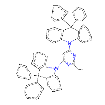 Cc1nc(N2c3ccccc3C(c3ccccc3)(c3ccccc3)c3ccccc32)cc(N2c3ccccc3C(c3ccccc3)(c3ccccc3)c3ccccc32)n1